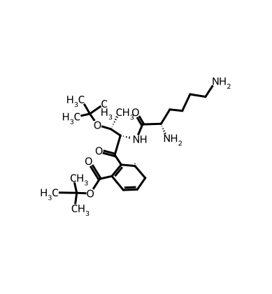 C[C@@H](OC(C)(C)C)[C@H](NC(=O)[C@@H](N)CCCCN)C(=O)C1=C(C(=O)OC(C)(C)C)C=CC[CH]1